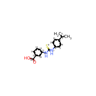 C=C(C)c1ccc(NC(=S)Nc2cccc(C(=O)O)c2)cc1